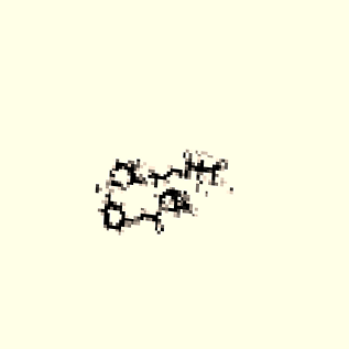 CC(C)(C(N)=O)C(=O)NCCCNc1nc(Nc2cccc(SCC(=O)N3CC4CC3C(=O)O4)c2)ncc1Br